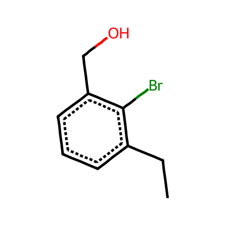 CCc1cccc(CO)c1Br